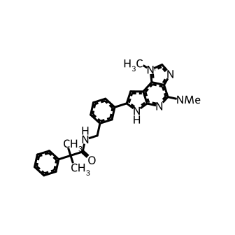 CNc1nc2[nH]c(-c3cccc(CNC(=O)C(C)(C)c4ccccc4)c3)cc2c2c1ncn2C